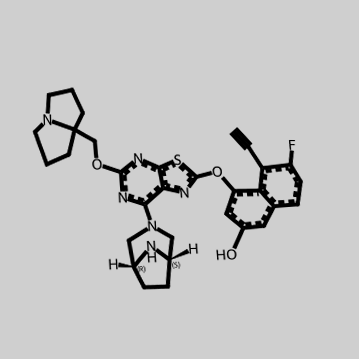 C#Cc1c(F)ccc2cc(O)cc(Oc3nc4c(N5C[C@H]6CC[C@@H](C5)N6)nc(OCC56CCCN5CCC6)nc4s3)c12